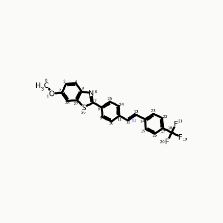 COc1ccc2nc(-c3ccc(/C=C/c4ccc(C(F)(F)F)cc4)cc3)sc2c1